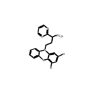 CCc1cc(CC)c2c(c1)N(CCC(c1ncccn1)S(=O)(=O)O)c1ccccc1S2